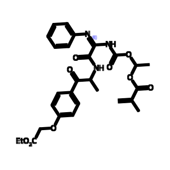 C=C(C)C(=O)OC(C)OC(=O)N/C(=N/c1ccccc1)C(=O)NC(C)C(=O)c1ccc(OCC(=O)OCC)cc1